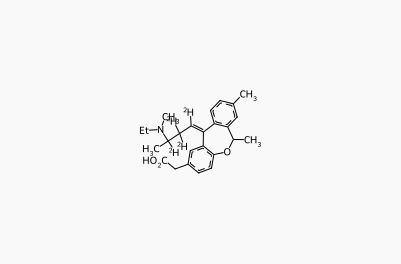 [2H]/C(=C1/c2cc(CC(=O)O)ccc2OC(C)c2cc(C)ccc21)C([2H])([2H])C([2H])(C)N(C)CC